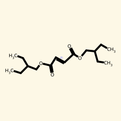 CCC(CC)COC(=O)/C=C/C(=O)OCC(CC)CC